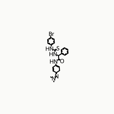 CN(C)N=C1C=CC(NC(=O)C(NC(=S)Nc2ccc(Br)cc2)c2ccccc2)=CC1